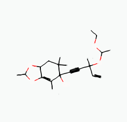 C=CC(C)(C#CC1(O)C(C)=C2OC(C)OC2CC1(C)C)OC(C)OCC